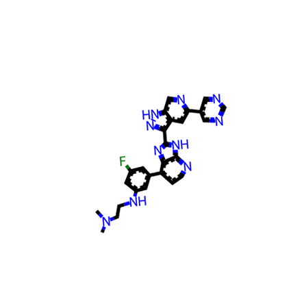 CN(C)CCNc1cc(F)cc(-c2ccnc3[nH]c(-c4n[nH]c5cnc(-c6cncnc6)cc45)nc23)c1